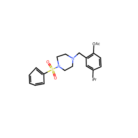 CC(=O)Oc1ccc(C(C)C)cc1CN1CCN(S(=O)(=O)c2ccccc2)CC1